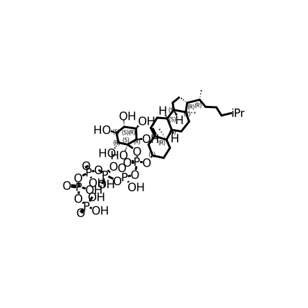 CC(C)CCC[C@@H](C)[C@H]1CC[C@H]2[C@@H]3CC=C4C[C@@H](OP(=O)(O[C@]5(O)[C@H](O)[C@H](O)[C@@H](O)[C@H](O)[C@H]5O)OP(=O)(O)OP(=O)(O)OP(=O)(O)OP(=O)(O)OP(=O)(O)O)CC[C@]4(C)[C@H]3CC[C@]12C